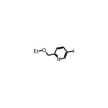 CCOCc1ccc(I)cn1